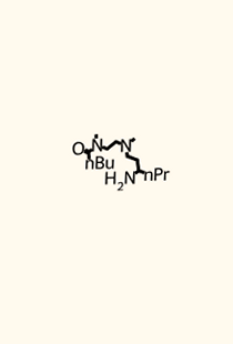 CCCCC(=O)N(C)CCN(C)CCC(N)CCC